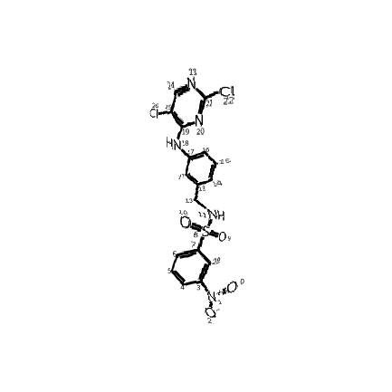 O=[N+]([O-])c1cccc(S(=O)(=O)NCc2cccc(Nc3nc(Cl)ncc3Cl)c2)c1